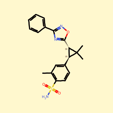 Cc1cc([C@H]2[C@H](c3nc(-c4ccccc4)no3)C2(C)C)ccc1S(N)(=O)=O